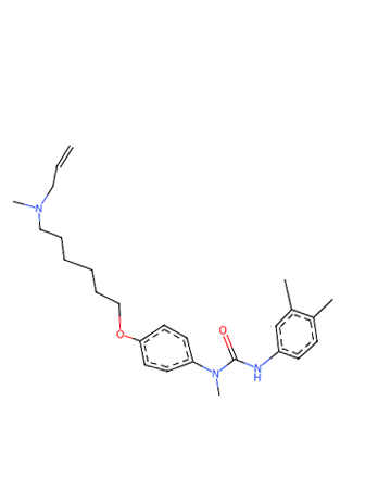 C=CCN(C)CCCCCCOc1ccc(N(C)C(=O)Nc2ccc(C)c(C)c2)cc1